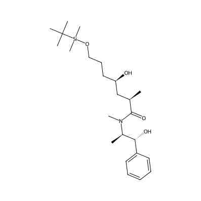 C[C@H](C[C@H](O)CCCO[Si](C)(C)C(C)(C)C)C(=O)N(C)[C@H](C)[C@H](O)c1ccccc1